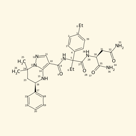 CCc1ccc(C(CC)(NC(=O)c2cnn3c2N[C@@H](c2ccccc2)CC3(C)C)C(=O)N[C@@H](CC(N)=O)C(N)=O)cc1